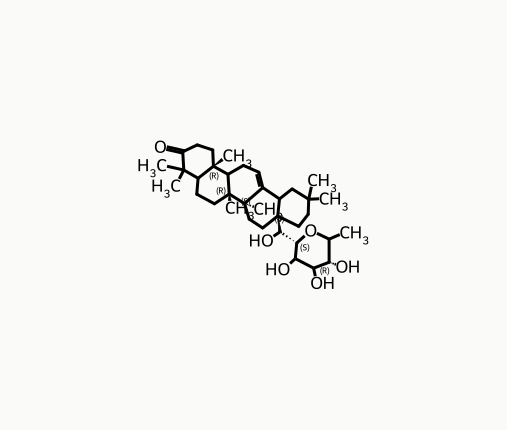 CC1O[C@@H](C(O)[C@]23CCC(C)(C)CC2C2=CCC4[C@@]5(C)CCC(=O)C(C)(C)C5CC[C@@]4(C)[C@]2(C)CC3)C(O)C(O)[C@H]1O